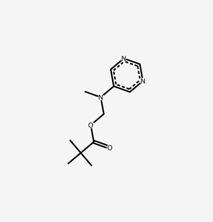 CN(COC(=O)C(C)(C)C)c1cncnc1